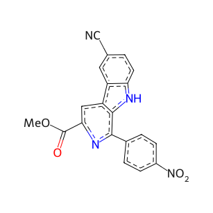 COC(=O)c1cc2c([nH]c3ccc(C#N)cc32)c(-c2ccc([N+](=O)[O-])cc2)n1